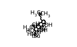 CN(C)CCCc1ccc(O)c2c1C[C@@H]1C[C@@H]3[C@@H](N(C)C)C(O)=C(C(=O)NC(C)(C)C)C(=O)[C@]3(O)C(O)=C1C2=O